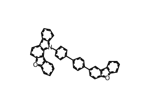 c1ccc2c(c1)oc1ccc(-c3ccc(-c4ccc(-n5c6ccccc6c6ccc7oc8ccccc8c7c65)cc4)cc3)cc12